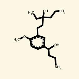 CCCC(O)(CC)CCc1cc(C(O)CCN)ccc1OC